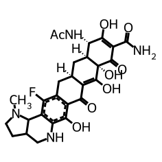 CC(=O)N[C@@H]1C(O)=C(C(N)=O)C(=O)[C@@]2(O)C(O)=C3C(=O)c4c(O)c5c(c(F)c4C[C@H]3C[C@@H]12)C1C(CCN1C)CN5